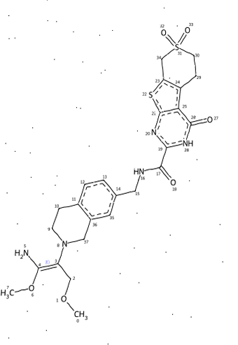 COC/C(=C(/N)OC)N1CCc2ccc(CNC(=O)c3nc4sc5c(c4c(=O)[nH]3)CCS(=O)(=O)C5)cc2C1